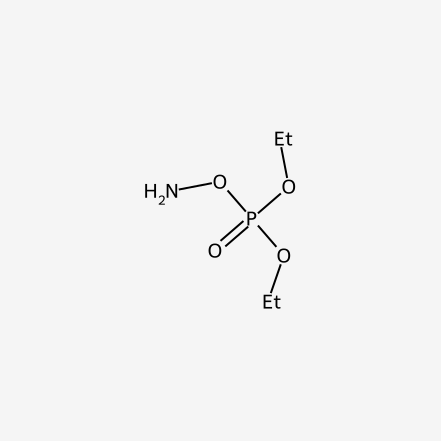 CCOP(=O)(ON)OCC